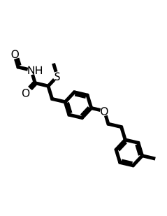 CSC(Cc1ccc(OCCc2cccc(C)c2)cc1)C(=O)NC=O